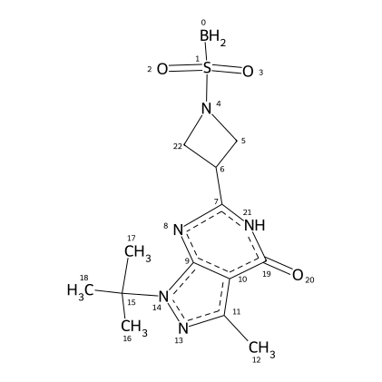 BS(=O)(=O)N1CC(c2nc3c(c(C)nn3C(C)(C)C)c(=O)[nH]2)C1